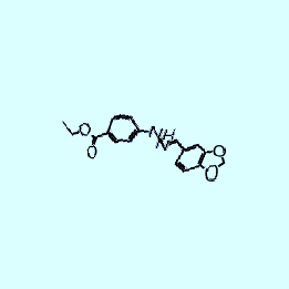 CCOC(=O)c1ccc(N/N=C/c2ccc3c(c2)OCO3)cc1